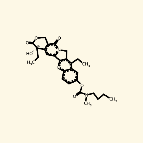 CCCCN(C)C(=O)Oc1ccc2nc3c(c(CC)c2c1)Cn1c-3cc2c(c1=O)COC(=O)[C@]2(O)CC